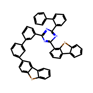 c1ccc(-c2ccccc2-c2nc(-c3cccc(-c4cccc(-c5ccc6sc7ccccc7c6c5)c4)c3)nc(-c3cccc4c3sc3ccccc34)n2)cc1